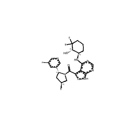 O=C(c1n[nH]c2ncnc(N[C@@H]3CCCC(F)(F)[C@H]3O)c12)N1C[C@@H](F)C[C@@H]1c1cncc(F)c1